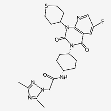 Cc1nc(C)n(CC(=O)N[C@H]2CC[C@@H](n3c(=O)c4cc(F)cnc4n(C4CCSCC4)c3=O)CC2)n1